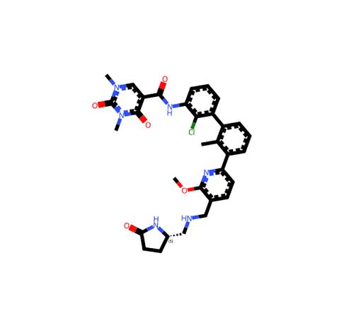 COc1nc(-c2cccc(-c3cccc(NC(=O)c4cn(C)c(=O)n(C)c4=O)c3Cl)c2C)ccc1CNC[C@@H]1CCC(=O)N1